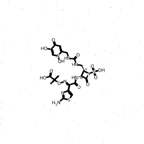 CC(C)(ON=C(C(=O)N[C@H]1C(=O)N(S(=O)(=O)O)[C@@H]1CNC(=O)NCc1cc(=O)c(O)cn1O)c1csc(N)n1)C(=O)O